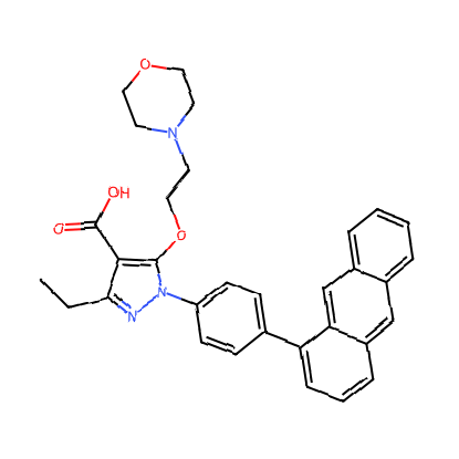 CCc1nn(-c2ccc(-c3cccc4cc5ccccc5cc34)cc2)c(OCCN2CCOCC2)c1C(=O)O